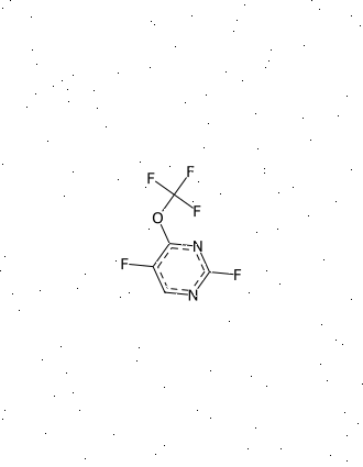 Fc1ncc(F)c(OC(F)(F)F)n1